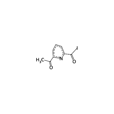 CC(=O)c1cccc(C(=O)I)n1